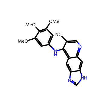 COc1cc(Nc2c(C#N)cnc3cc4[nH]cnc4cc23)cc(OC)c1OC